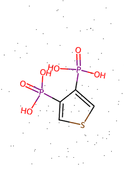 O=P(O)(O)c1cscc1P(=O)(O)O